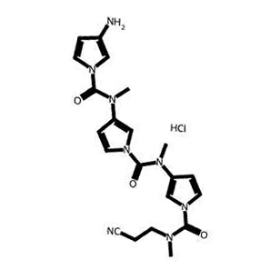 CN(CCC#N)C(=O)n1ccc(N(C)C(=O)n2ccc(N(C)C(=O)n3ccc(N)c3)c2)c1.Cl